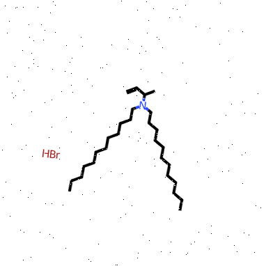 Br.C=CC(C)N(CCCCCCCCCCCC)CCCCCCCCCCCC